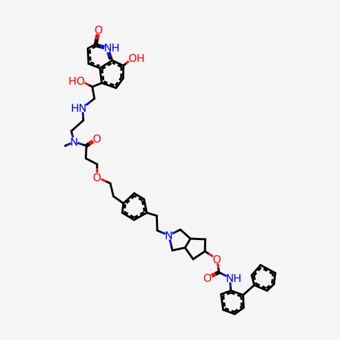 CN(CCNCC(O)c1ccc(O)c2[nH]c(=O)ccc12)C(=O)CCOCCc1ccc(CCN2CC3CC(OC(=O)Nc4ccccc4-c4ccccc4)CC3C2)cc1